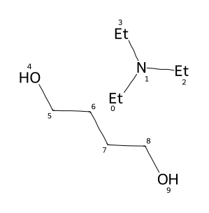 CCN(CC)CC.OCCCCO